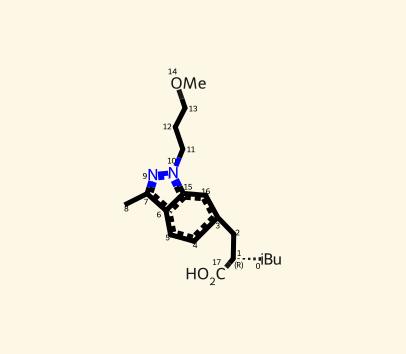 CCC(C)[C@@H](Cc1ccc2c(C)nn(CCCOC)c2c1)C(=O)O